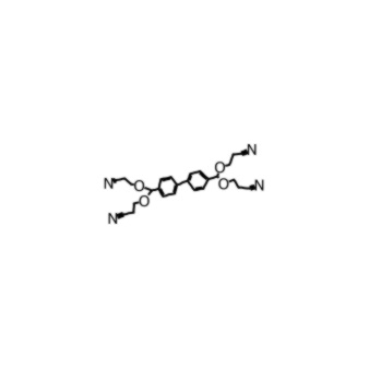 N#CCCOC(OCCC#N)c1ccc(-c2ccc(C(OCCC#N)OCCC#N)cc2)cc1